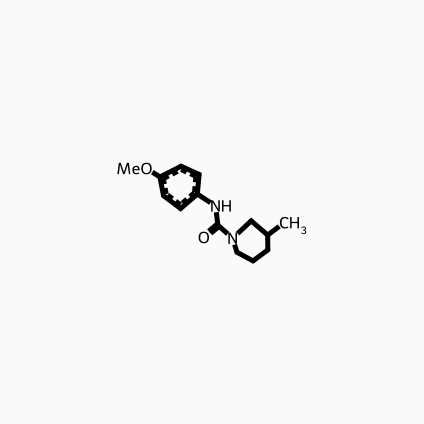 COc1ccc(NC(=O)N2CCCC(C)C2)cc1